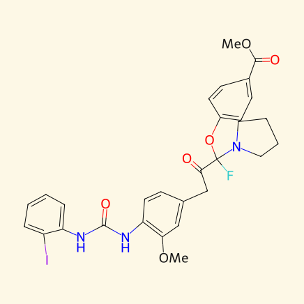 COC(=O)c1ccc(OC(F)(C(=O)Cc2ccc(NC(=O)Nc3ccccc3I)c(OC)c2)N2CCCC2)cc1